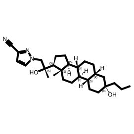 CCC[C@@]1(O)CC[C@H]2[C@H](CC[C@@H]3[C@@H]2CC[C@@]2(C)[C@H]3CC[C@@H]2[C@](C)(O)Cn2ccc(C#N)n2)C1